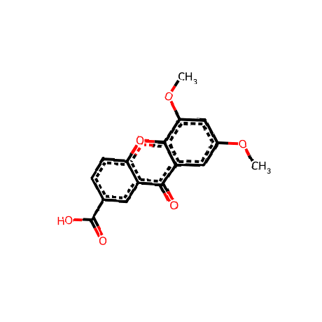 COc1cc(OC)c2oc3ccc(C(=O)O)cc3c(=O)c2c1